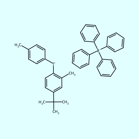 Cc1ccc([I+]c2ccc(C(C)(C)C)cc2C)cc1.c1ccc([B-](c2ccccc2)(c2ccccc2)c2ccccc2)cc1